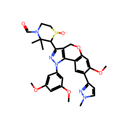 COc1cc(OC)cc(-n2nc(C3[S+]([O-])CCN(C=O)C3(C)C)c3c2-c2cc(-c4ccn(C)n4)c(OC)cc2OC3)c1